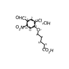 Cl.O=Cc1cc(Cl)c(OCCCCC(=O)O)cc1[N+](=O)[O-]